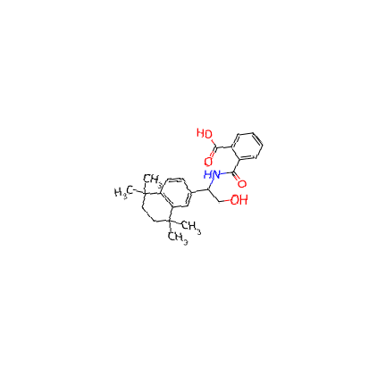 CC1(C)CCC(C)(C)c2cc(C(CO)NC(=O)c3ccccc3C(=O)O)ccc21